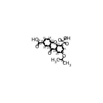 CC(C)Oc1cc(S(=O)(=O)O)c2oc3ccc(C(=O)O)cc3c(=O)c2c1